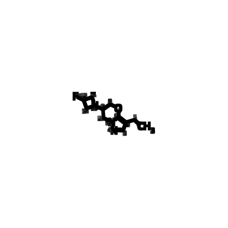 CCc1cnn2c1OCC(N1CC(F)C1)C2